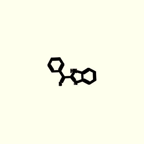 S=C(c1ccccc1)c1nc2ccccc2[nH]1